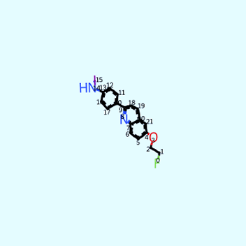 FCCOc1ccc2nc(-c3ccc(NI)cc3)ccc2c1